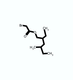 CCC(C)CC(CC)COC(=O)CBr